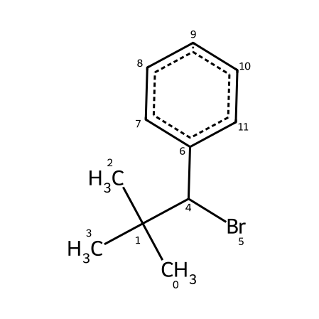 CC(C)(C)C(Br)c1cc[c]cc1